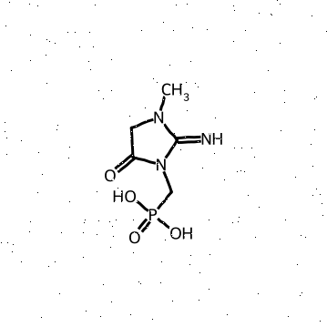 CN1CC(=O)N(CP(=O)(O)O)C1=N